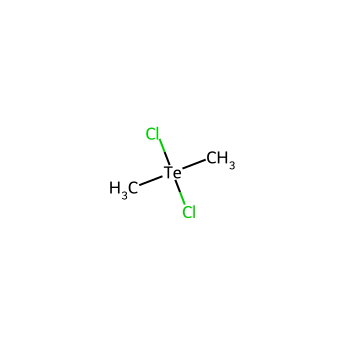 C[Te](C)(Cl)Cl